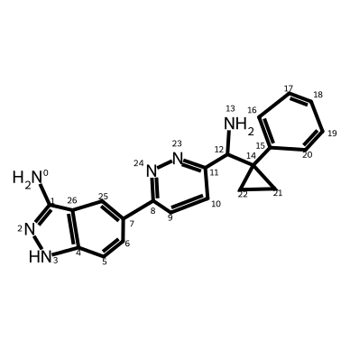 Nc1n[nH]c2ccc(-c3ccc(C(N)C4(c5ccccc5)CC4)nn3)cc12